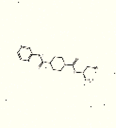 CC(C)C[C@H](NC(=O)N1CCC(C(=O)Nc2cnccn2)CC1)C(=O)O